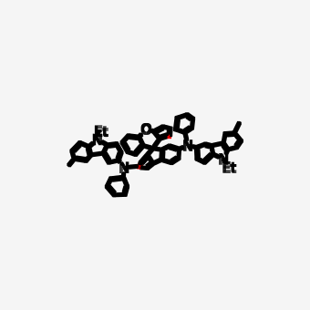 CCn1c2ccc(C)cc2c2cc(N(c3ccccc3)c3ccc4c(c3)C3(c5ccccc5Oc5ccccc53)c3cc(N(c5ccccc5)c5ccc6c(c5)c5cc(C)ccc5n6CC)ccc3-4)ccc21